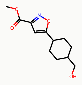 COC(=O)c1cc(C2CCC(CO)CC2)on1